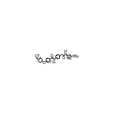 CC(C)(C)c1cc(NC(=O)Cc2ccc(NC(=O)c3ccc(OC4CCN(CC(F)(F)F)CC4)cn3)cc2)no1